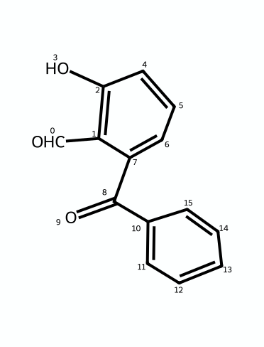 O=Cc1c(O)cccc1C(=O)c1ccccc1